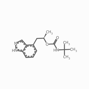 C[C@H](Cc1cccc2[nH]ncc12)OC(=O)NC(C)(C)C